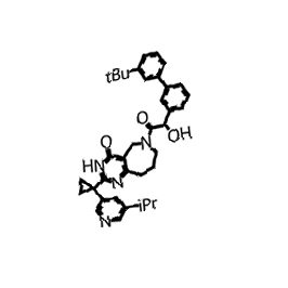 CC(C)c1cncc(C2(c3nc4c(c(=O)[nH]3)CN(C(=O)C(O)c3cccc(-c5cccc(C(C)(C)C)c5)c3)CCC4)CC2)c1